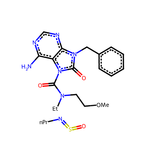 CCCN=S=O.CCN(CCOC)C(=O)n1c(=O)n(Cc2ccccc2)c2ncnc(N)c21